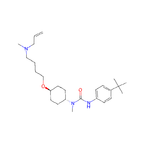 C=CCN(C)CCCCO[C@H]1CC[C@H](N(C)C(=O)Nc2ccc(C(C)(C)C)cc2)CC1